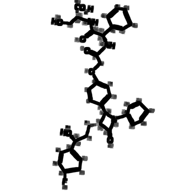 O=C(COc1ccc([C@@H]2[C@@H](CC[C@H](O)c3ccc(F)cc3)C(=O)N2c2ccccc2)cc1)N[C@@H](C(=O)N[C@H](CO)C(=O)O)c1ccccc1